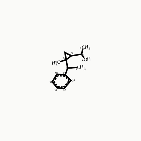 CC(O)C1CC1(C)C(C)c1ccccc1